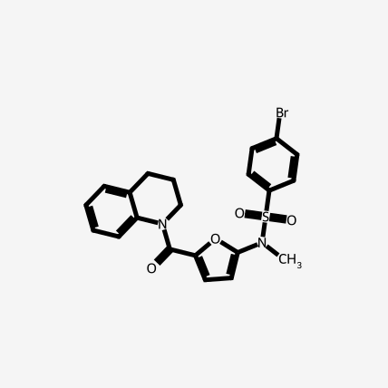 CN(c1ccc(C(=O)N2CCCc3ccccc32)o1)S(=O)(=O)c1ccc(Br)cc1